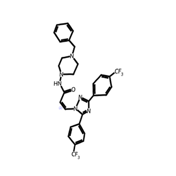 O=C(/C=C\n1nc(-c2ccc(C(F)(F)F)cc2)nc1-c1ccc(C(F)(F)F)cc1)NN1CCN(Cc2ccccc2)CC1